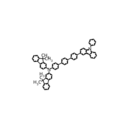 CC1(C)c2ccccc2-c2ccc(N(c3ccc(-c4ccc(-c5ccc(-c6ccc7c(c6)c6ccccc6n7-c6ccccc6)cc5)cc4)cc3)c3ccc4c(c3)C(C)(C)c3ccccc3-4)cc21